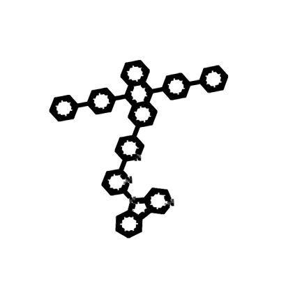 c1ccc(-c2ccc(-c3c4ccccc4c(-c4ccc(-c5ccccc5)cc4)c4cc(-c5ccc(-c6cccc(-n7c8ccccc8c8cnccc87)n6)nc5)ccc34)cc2)cc1